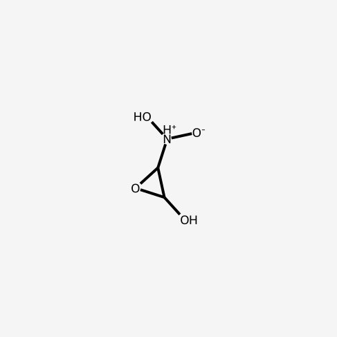 [O-][NH+](O)C1OC1O